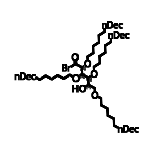 CCCCCCCCCCCCCCCCOC[C@@H](O)[C@H](OCCCCCCCCCCCCCCCC)[C@H](OCCCCCCCCCCCCCCCC)[C@@H](OCCCCCCCCCCCCCCCC)C(=O)Br